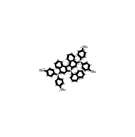 CC(C)(C)c1ccc(N(c2ccc(C(C)(C)C)cc2)c2cc3c(c4ccccc24)c2c4ccccc4c(N(c4ccc(C(C)(C)C)cc4)c4ccc(C(C)(C)C)cc4)cc2n3-c2cccc3ccccc23)cc1